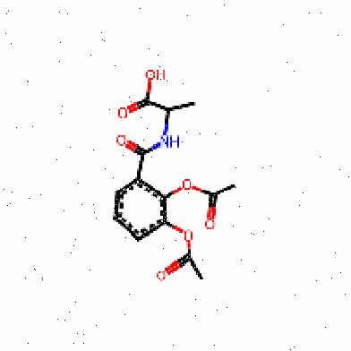 CC(=O)Oc1cccc(C(=O)NC(C)C(=O)O)c1OC(C)=O